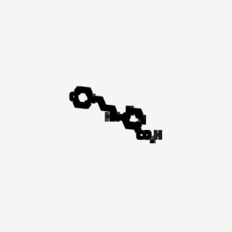 O=C(O)c1cc(NCCCN2CCOCC2)ncn1